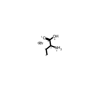 CCC(N)C(=O)O.[Rh]